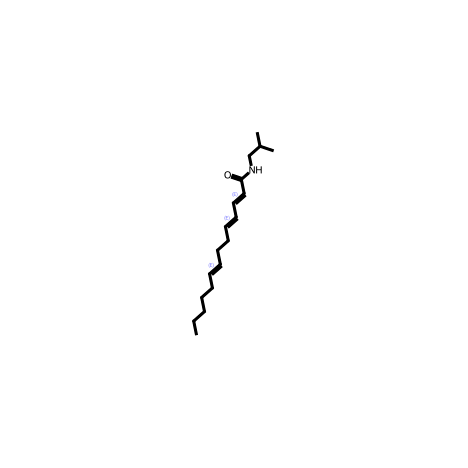 CCCCC/C=C/CC/C=C/C=C/C(=O)NCC(C)C